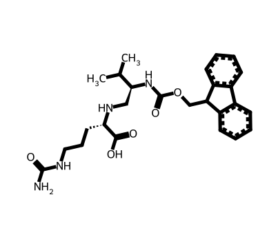 CC(C)[C@H](CN[C@@H](CCCNC(N)=O)C(=O)O)NC(=O)OCC1c2ccccc2-c2ccccc21